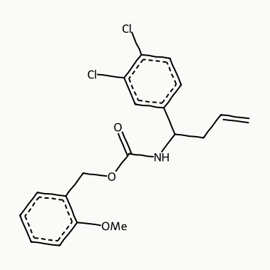 C=CCC(NC(=O)OCc1ccccc1OC)c1ccc(Cl)c(Cl)c1